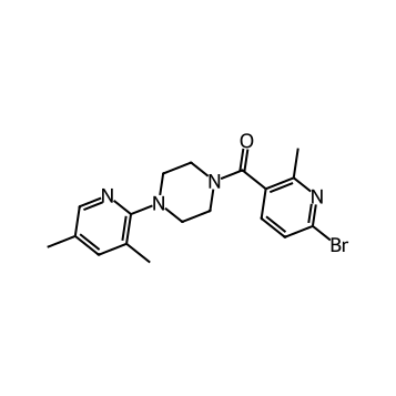 Cc1cnc(N2CCN(C(=O)c3ccc(Br)nc3C)CC2)c(C)c1